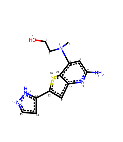 CN(CCO)c1cc(N)nc2cc(-c3ccn[nH]3)sc12